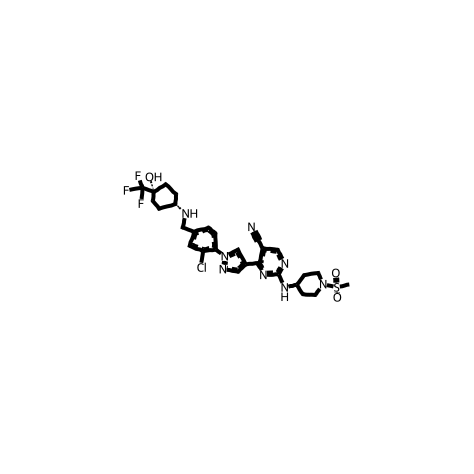 CS(=O)(=O)N1CCC(Nc2ncc(C#N)c(-c3cnn(-c4ccc(CN[C@H]5CC[C@](O)(C(F)(F)F)CC5)cc4Cl)c3)n2)CC1